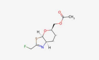 CC(=O)OC[C@H]1[C][C][C@H]2N=C(CF)S[C@H]2O1